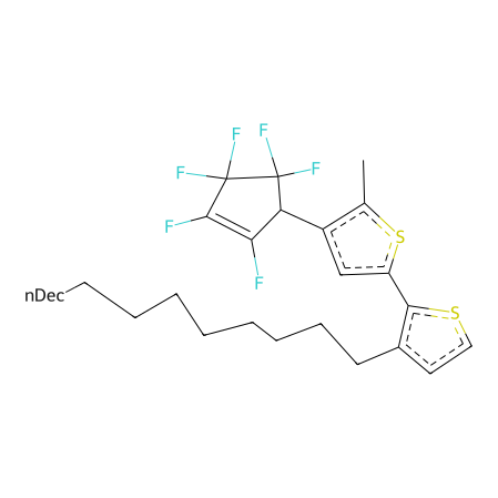 CCCCCCCCCCCCCCCCCCc1ccsc1-c1cc(C2C(F)=C(F)C(F)(F)C2(F)F)c(C)s1